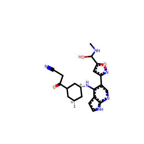 CNC(O)c1cc(-c2cnc3[nH]ccc3c2N[C@H]2CC(C(=O)CC#N)C[C@@H](C)C2)no1